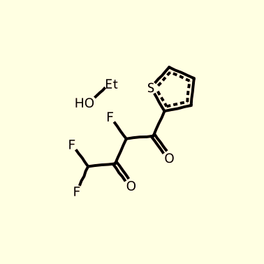 CCO.O=C(c1cccs1)C(F)C(=O)C(F)F